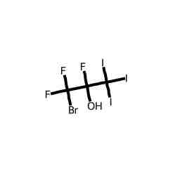 OC(F)(C(F)(F)Br)C(I)(I)I